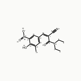 CCN(CC)C(=O)C(C#N)=Cc1cc(C)c(O)c([N+](=O)[O-])c1